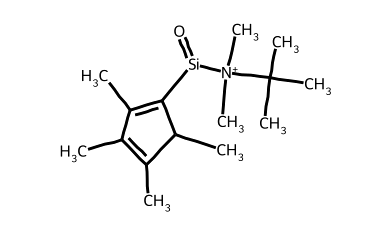 CC1=C(C)C(C)C([Si](=O)[N+](C)(C)C(C)(C)C)=C1C